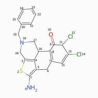 Nc1sc2c3c1CC1=C(C(=O)C(Cl)C(Cl)=C1)C3CN(Cc1ccccc1)C2